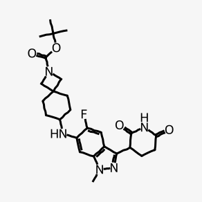 Cn1nc(C2CCC(=O)NC2=O)c2cc(F)c(NC3CCC4(CC3)CN(C(=O)OC(C)(C)C)C4)cc21